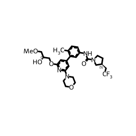 COC[C@H](O)COc1cc(-c2cc(NC(=O)N3CC[C@@H](CC(F)(F)F)C3)ccc2C)cc(N2CCOCC2)n1